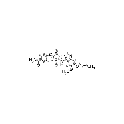 COCCOc1cc2ncnc(NC3=CC(=O)C(Oc4ccc(C(N)=O)cc4)=CC3=O)c2cc1OC